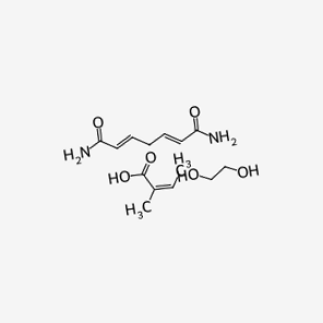 CC=C(C)C(=O)O.NC(=O)C=CCC=CC(N)=O.OCCO